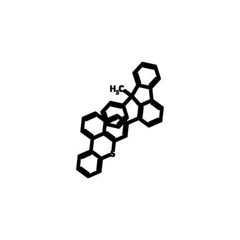 CC1(c2ccccc2)c2ccccc2-c2cccc(-c3cc4c5c(cccc5c3)-c3ccccc3S4)c21